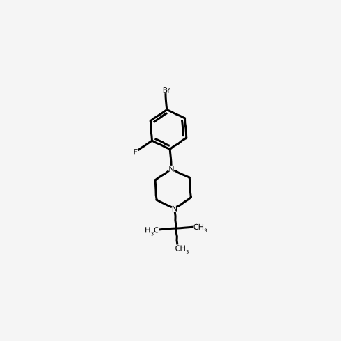 CC(C)(C)N1CCN(c2ccc(Br)cc2F)CC1